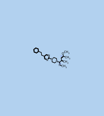 C=C(/C=C(\C)OC)/C(=N\C)N1CCN(c2ncc(CCc3ccccc3)cn2)CC1